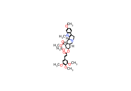 COC(=O)[C@H]1[C@H]2C[C@@H]3c4c(c5ccc(OC)cc5n4C)CCN3C[C@H]2C[C@@H](OC(=O)/C=C/c2cc(OC)c(OC)c(OC)c2)[C@@H]1OC